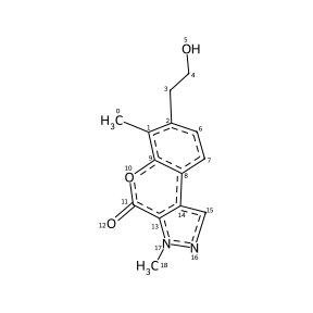 Cc1c(CCO)ccc2c1oc(=O)c1c2cnn1C